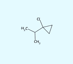 [CH2]C(C)C1(Cl)CC1